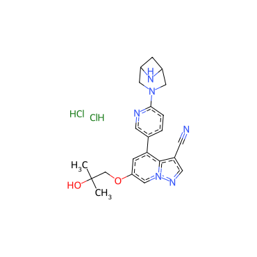 CC(C)(O)COc1cc(-c2ccc(N3CC4CC(C3)N4)nc2)c2c(C#N)cnn2c1.Cl.Cl